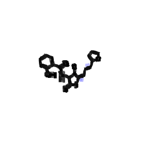 O=C(NC1C(=O)/C(=C\C=C\c2ccco2)SC1=S)c1ccccc1O